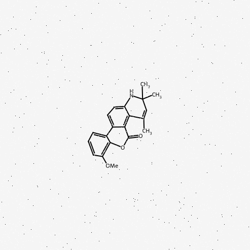 COc1cccc2c1oc(=O)c1c3c(ccc12)NC(C)(C)C=C3C